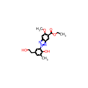 CCOC(=O)c1cc2nn(-c3cc(CCO)cc(C)c3O)nc2cc1OC